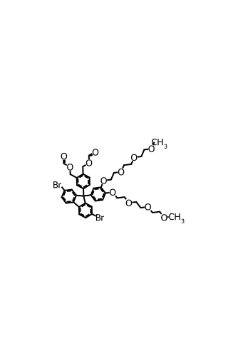 COCCOCCOCCOc1ccc(C2(c3ccc(COC=O)c(COC=O)c3)c3cc(Br)ccc3-c3ccc(Br)cc32)cc1OCCOCCOCCOC